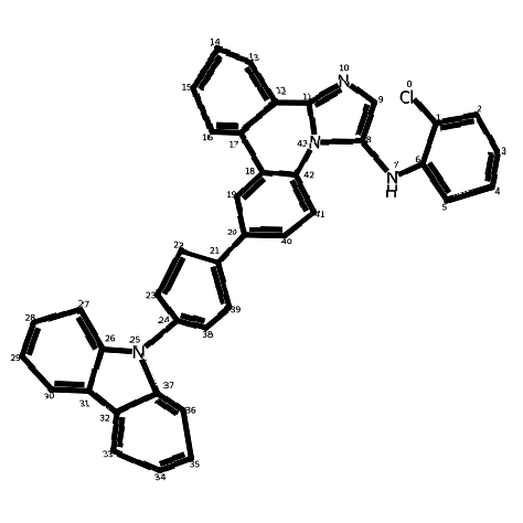 Clc1ccccc1Nc1cnc2c3ccccc3c3cc(-c4ccc(-n5c6ccccc6c6ccccc65)cc4)ccc3n12